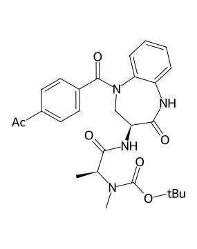 CC(=O)c1ccc(C(=O)N2C[C@H](NC(=O)[C@H](C)N(C)C(=O)OC(C)(C)C)C(=O)Nc3ccccc32)cc1